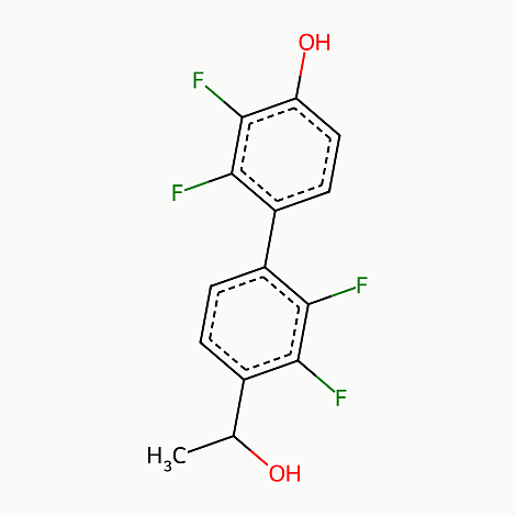 CC(O)c1ccc(-c2ccc(O)c(F)c2F)c(F)c1F